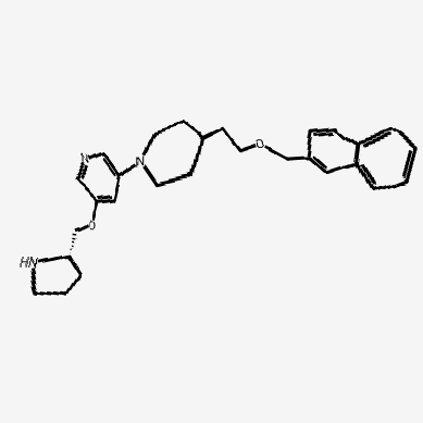 c1ccc2cc(COCCC3CCN(c4cncc(OC[C@@H]5CCCN5)c4)CC3)ccc2c1